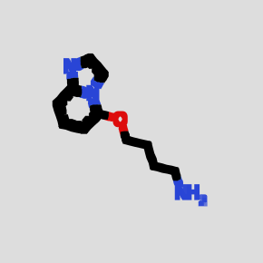 NCCCCOc1cccc2nccn12